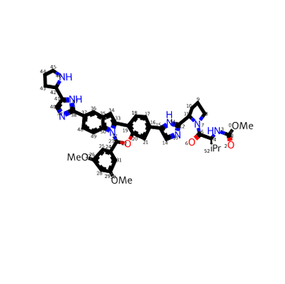 COC(=O)N[C@H](C(=O)N1CCCC1c1ncc(-c2ccc3c(c2)OC(c2cc(OC)cc(OC)c2)n2c-3cc3cc(-c4ncc(C5CCCN5)[nH]4)ccc32)[nH]1)C(C)C